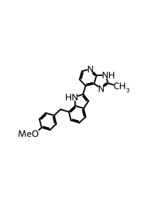 COc1ccc(Cc2cccc3cc(-c4ccnc5[nH]c(C)nc45)[nH]c23)cc1